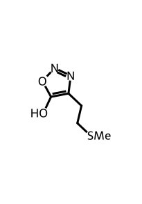 CSCCc1nnoc1O